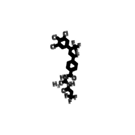 CC(NC(=O)CC(F)(F)F)NC(=O)c1ccc(/C(F)=C/C(c2cc(Cl)c(Cl)c(Cl)c2)C(F)(F)F)cc1